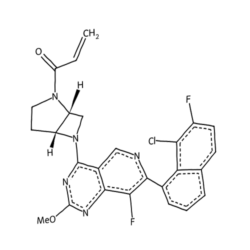 C=CC(=O)N1CC[C@@H]2[C@H]1CN2c1nc(OC)nc2c(F)c(-c3cccc4ccc(F)c(Cl)c34)ncc12